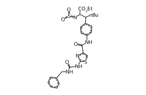 CCCCC(c1ccc(NC(=O)c2csc(NC(=O)NCc3ccccc3)n2)cc1)C(N=S(=O)=O)C(=O)OCC